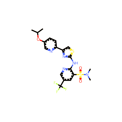 CC(C)Oc1ccc(-c2csc(Nc3ncc(C(F)(F)F)cc3S(=O)(=O)N(C)C)n2)nc1